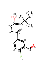 CCC(C)(C)c1cc(-c2ccc(F)c(C=O)c2)ccc1O